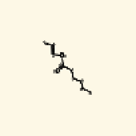 CC=COC(=O)CCCCC